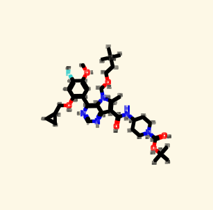 COc1cc(-c2ncnc3c(C(=O)NC4CCN(C(=O)OC(C)(C)C)CC4)c(C)n(COCC[Si](C)(C)C)c23)c(OCC2CC2)cc1F